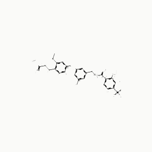 CCc1cc(Oc2cc(C)cc(CNC(=O)c3ccc(C(F)(F)F)cc3Cl)c2)ccc1CCC(=O)O